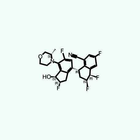 C[C@H]1COCCN1c1c(F)cc([C@H]2C[C@H](F)[C@H](F)c3cc(F)cc(C#N)c32)c2c1[C@H](O)[C@H](F)C2